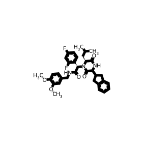 COc1ccc(CNC(=O)[C@H](c2ccc(F)cc2F)N2C(=O)C(C3Cc4ccccc4C3)NC(=O)[C@H]2CC(C)C)cc1OC